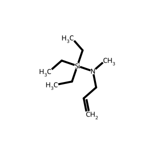 C=CCN(C)[Si](CC)(CC)CC